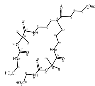 CCCCCCCCCCCCCC(=O)N(CCCNC(=O)C(C)(C)OC(=O)NCC(=O)O)CCCNC(=O)C(C)(C)OC(=O)NCC(=O)O